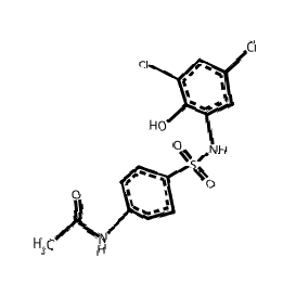 CC(=O)Nc1ccc(S(=O)(=O)Nc2cc(Cl)cc(Cl)c2O)cc1